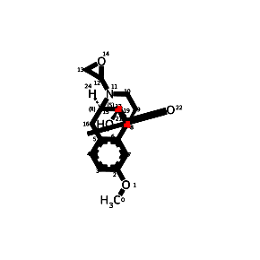 COc1ccc2c(c1)[C@]13CCN(C4CO4)[C@H](C2)[C@]1(O)CCC(=O)C3